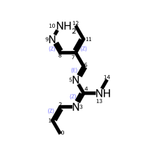 C\C=C/N=C(\N=C\C(\C=N/N)=C\C)NC